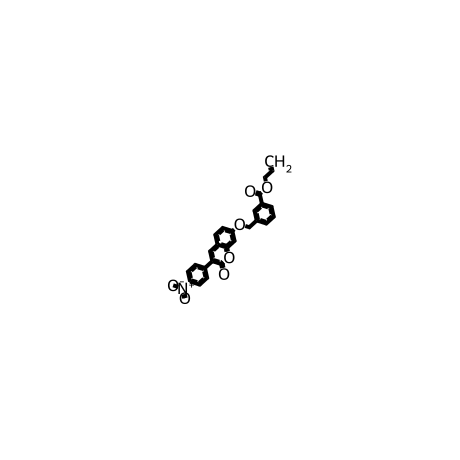 C=CCOC(=O)c1cccc(COc2ccc3cc(-c4ccc([N+](=O)[O-])cc4)c(=O)oc3c2)c1